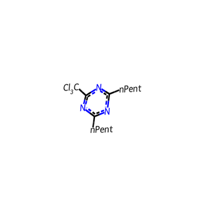 CCCCCc1nc(CCCCC)nc(C(Cl)(Cl)Cl)n1